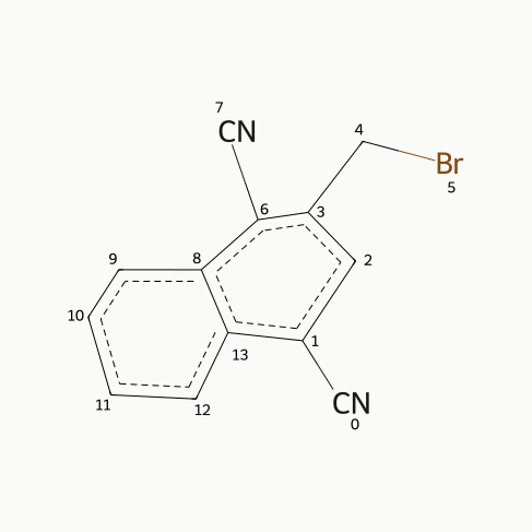 N#Cc1cc(CBr)c(C#N)c2ccccc12